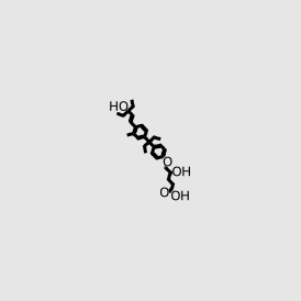 CCC(O)(C=Cc1ccc(C(CC)(CC)c2ccc(OCC(O)CCC(=O)O)cc2)cc1C)CC